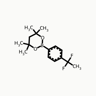 CC1(C)CC(C)(C)OB(c2ccc(C(C)(F)F)cc2)O1